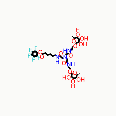 C[C@@H]1O[C@@H](OCCNC(=O)CN(CC(=O)NCCCCCC(=O)Oc2c(F)c(F)c(F)c(F)c2F)CC(=O)NCCO[C@@H]2O[C@@H](C)[C@@H](O)[C@@H](O)[C@@H]2O)[C@@H](O)[C@H](O)[C@@H]1O